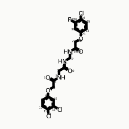 O=C(CNC(=O)COc1ccc(Cl)c(Cl)c1)NCNC(=O)COc1ccc(Cl)c(F)c1